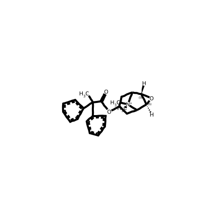 CC(C(=O)OC1CC2[C@@H]3O[C@H]3C(C1)[N+]2(C)C)(c1ccccc1)c1ccccc1